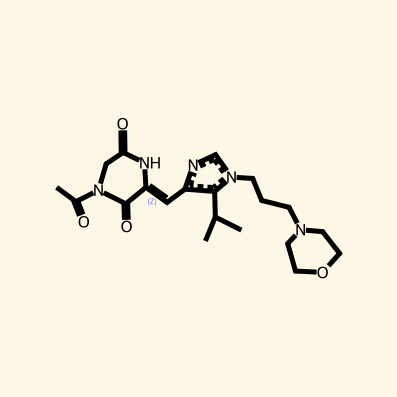 CC(=O)N1CC(=O)N/C(=C\c2ncn(CCCN3CCOCC3)c2C(C)C)C1=O